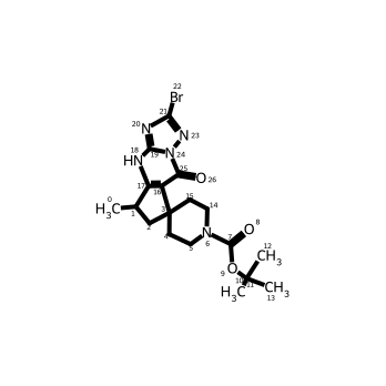 CC1CC2(CCN(C(=O)OC(C)(C)C)CC2)c2c1[nH]c1nc(Br)nn1c2=O